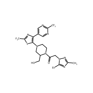 CCc1nc(C)nn1CC(=O)N1CCN(c2sc(C(F)(F)F)nc2-c2cnc(C(F)(F)F)nc2)CC1CO